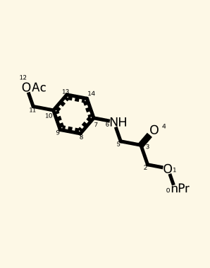 CCCOCC(=O)CNc1ccc(COC(C)=O)cc1